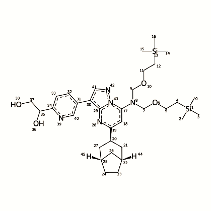 C[Si](C)(C)CCOCN(COCC[Si](C)(C)C)c1cc([C@H]2C[C@@H]3CC[C@@H](C3)C2)nc2c(-c3ccc(C(O)CO)nc3)cnn12